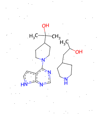 CC(C)(O)C1CCN(c2ncnc3[nH]ccc23)CC1.CC(O)CC1CCNCC1